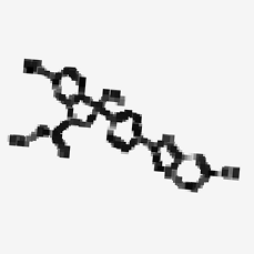 CC(C)(C)OC(=O)N1CC(C)(c2ccc(-c3cn4ccc(C#N)cc4n3)cc2)c2ccc(C#N)cc21